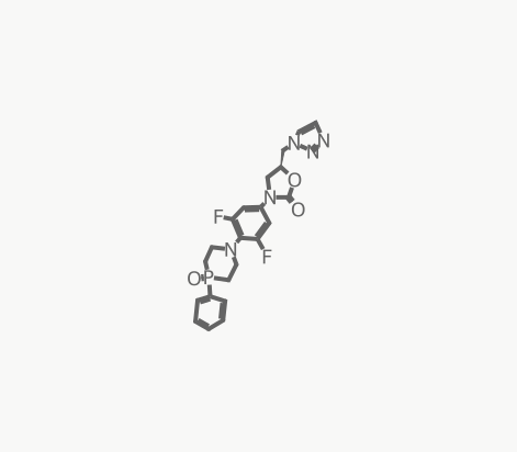 O=C1O[C@H](Cn2ccnn2)CN1c1cc(F)c(N2CCP(=O)(c3ccccc3)CC2)c(F)c1